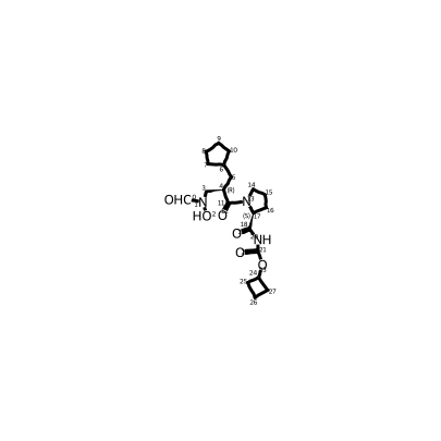 O=CN(O)C[C@@H](CC1CCCC1)C(=O)N1CCC[C@H]1C(=O)NC(=O)OC1CCC1